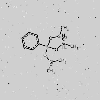 C[SiH2]O[Si](O[SiH](C)C)(O[SiH](C)C)c1ccccc1